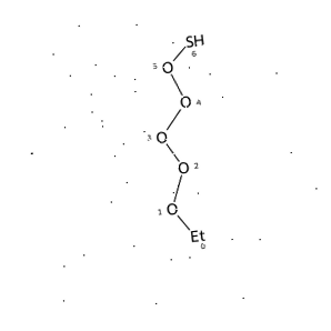 CCOOOOOS